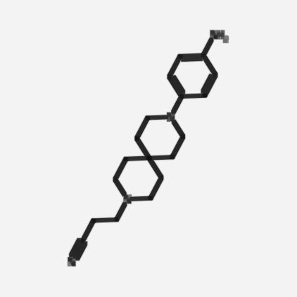 N#CCCN1CCC2(CC1)CCN(c1ccc(N)cc1)CC2